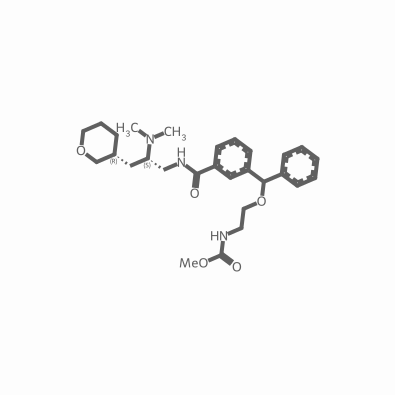 COC(=O)NCCOC(c1ccccc1)c1cccc(C(=O)NC[C@H](C[C@H]2CCCOC2)N(C)C)c1